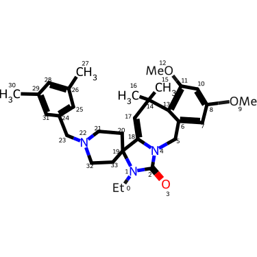 CCN1C(=O)N2Cc3cc(OC)cc(OC)c3C(C)(C)C=C2C12CCN(Cc1cc(C)cc(C)c1)CC2